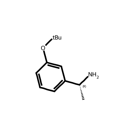 C[C@@H](N)c1cccc(OC(C)(C)C)c1